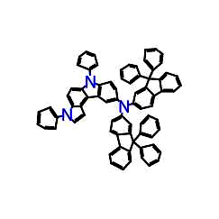 c1ccc(-n2ccc3c4c5cc(N(c6ccc7c(c6)C(c6ccccc6)(c6ccccc6)c6ccccc6-7)c6ccc7c(c6)C(c6ccccc6)(c6ccccc6)c6ccccc6-7)ccc5n(-c5ccccc5)c4ccc32)cc1